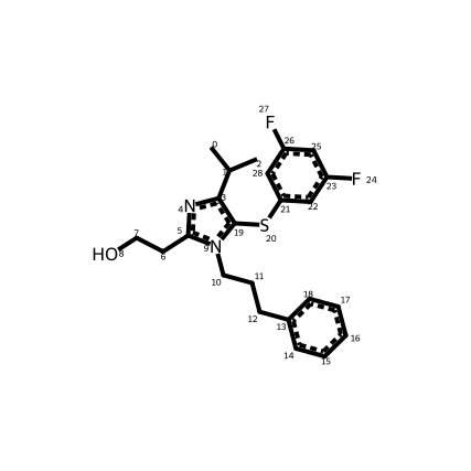 CC(C)c1nc(CCO)n(CCCc2ccccc2)c1Sc1cc(F)cc(F)c1